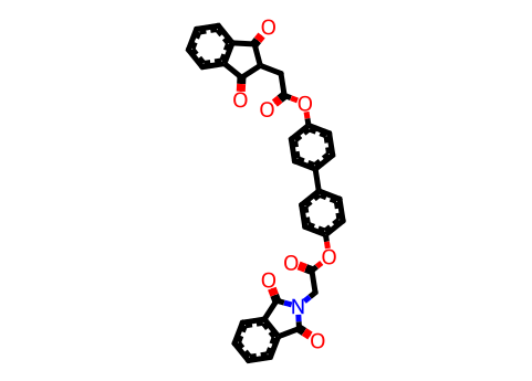 O=C(CC1C(=O)c2ccccc2C1=O)Oc1ccc(-c2ccc(OC(=O)CN3C(=O)c4ccccc4C3=O)cc2)cc1